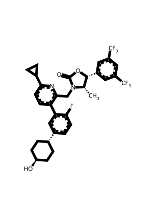 C[C@H]1[C@@H](c2cc(C(F)(F)F)cc(C(F)(F)F)c2)OC(=O)N1Cc1nc(C2CC2)ccc1-c1cc([C@H]2CC[C@H](O)CC2)ccc1F